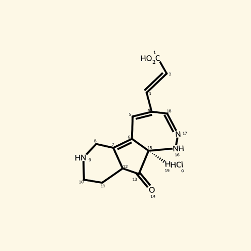 Cl.O=C(O)/C=C/C1=CC2=C3CNCCC3C(=O)[C@@H]2NN=C1